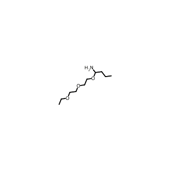 CCCC(N)OCCOCCOCC